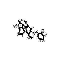 O=C1Nc2ccccc2[C@@]12COc1cc3c(cnn3Cc3ncccc3C(F)(F)F)cc12